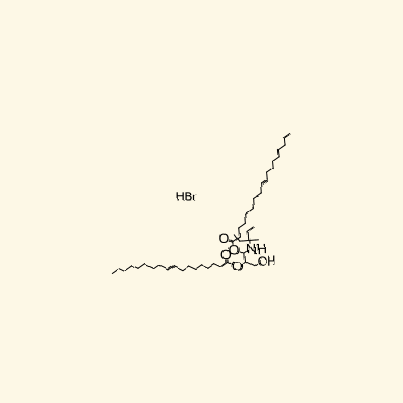 Br.CCCCCCCCC=CCCCCCCCC(=O)OC(CO)C(NC(C)(CC)CC)OC(=O)CCCCCCCC=CCCCCCCCC